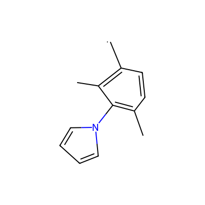 [CH2]c1ccc(C)c(-n2cccc2)c1C